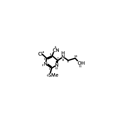 CSc1nc(Cl)c(C#N)c(NCCO)n1